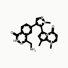 Cc1cc(-c2c(-c3ccc4c(=O)[nH]nc(CN)c4c3)cnn2C)n2c(=O)ccn(C)c12